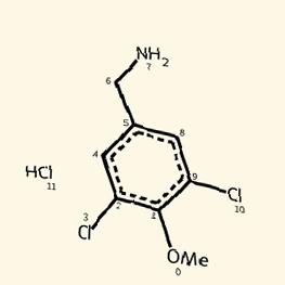 COc1c(Cl)cc(CN)cc1Cl.Cl